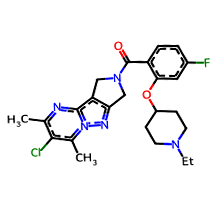 CCN1CCC(Oc2cc(F)ccc2C(=O)N2Cc3nn4c(C)c(Cl)c(C)nc4c3C2)CC1